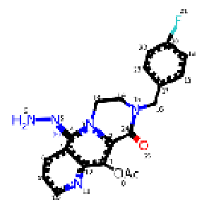 CC(=O)Oc1c2n(/c(=N/N)c3cccnc13)CCN(Cc1ccc(F)cc1)C2=O